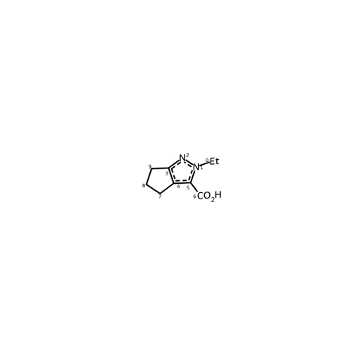 CCn1nc2c(c1C(=O)O)CCC2